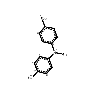 CC(C)(C)c1ccc(N(I)c2ccc(C#N)cc2)cc1